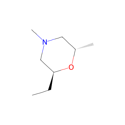 CC[C@H]1CN(C)C[C@H](C)O1